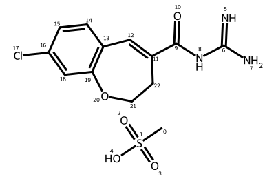 CS(=O)(=O)O.N=C(N)NC(=O)C1=Cc2ccc(Cl)cc2OCC1